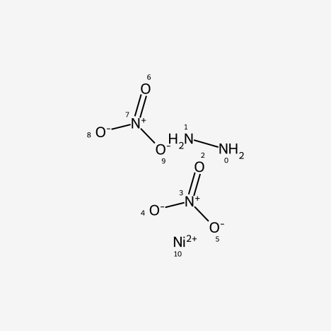 NN.O=[N+]([O-])[O-].O=[N+]([O-])[O-].[Ni+2]